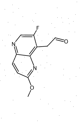 COc1ccc2ncc(F)c(CC=O)c2n1